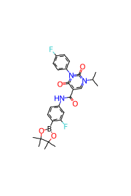 CC(C)n1cc(C(=O)Nc2ccc(B3OC(C)(C)C(C)(C)O3)c(F)c2)c(=O)n(-c2ccc(F)cc2)c1=O